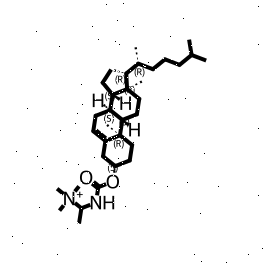 CC(C)CCC[C@@H](C)[C@H]1CC[C@H]2[C@@H]3CC=C4C[C@@H](OC(=O)NC(C)[N+](C)(C)C)CC[C@]4(C)[C@H]3CC[C@]12C